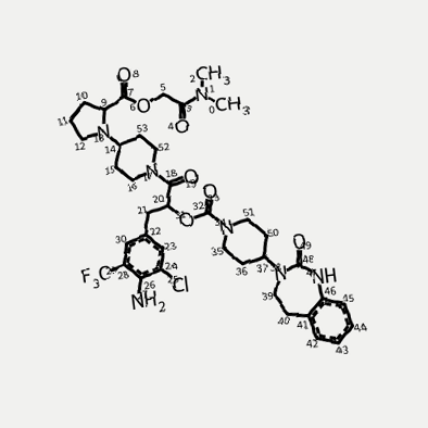 CN(C)C(=O)COC(=O)C1CCCN1C1CCN(C(=O)C(Cc2cc(Cl)c(N)c(C(F)(F)F)c2)OC(=O)N2CCC(N3CCc4ccccc4NC3=O)CC2)CC1